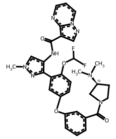 CN(C)[C@H]1CCN(C(=O)c2cccc(Oc3ccc(OC(F)F)c(-c4nn(C)cc4NC(=O)c4cnn5cccnc45)c3)c2)C1